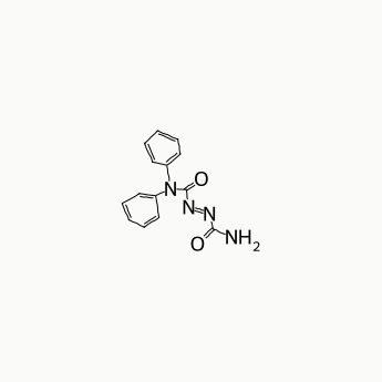 NC(=O)N=NC(=O)N(c1ccccc1)c1ccccc1